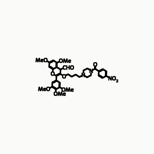 COc1cc(OC)c2c(c1)OC(c1cc(OC)c(OC)c(OC)c1)=C(OCCCCN1CCN(C(=O)c3ccc([N+](=O)[O-])cc3)CC1)C2C=O